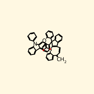 C=C1/C=C\C2=C(N(c3ccc4c(c3)c3ccccc3n4-c3ccccc3)c3ccccc31)C1(c3ccccc3Oc3ccccc31)c1ccccc12